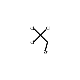 ClC(Cl)(Cl)[CH2][Zr]